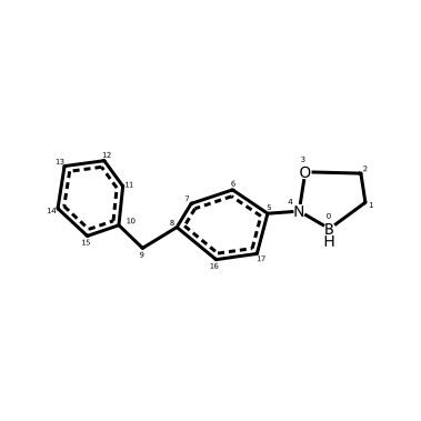 B1CCON1c1ccc(Cc2ccccc2)cc1